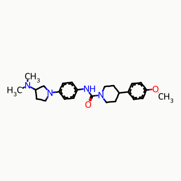 COc1ccc(C2CCN(C(=O)Nc3ccc(N4CCC(N(C)C)C4)cc3)CC2)cc1